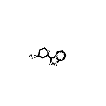 CC1CCOC(c2nnc3ccccn23)C1